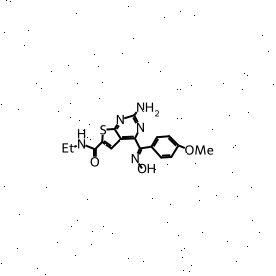 CCNC(=O)c1cc2c(C(=NO)c3ccc(OC)cc3)nc(N)nc2s1